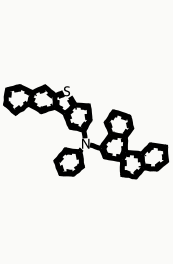 c1ccc(N(c2ccc3sc4cc5ccccc5cc4c3c2)c2cc3ccc4ccccc4c3c3ccccc23)cc1